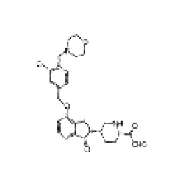 O=CC(=O)C1CCC(N2Cc3c(OCc4ccc(CN5CCOCC5)c(Cl)c4)cccc3C2=O)CN1